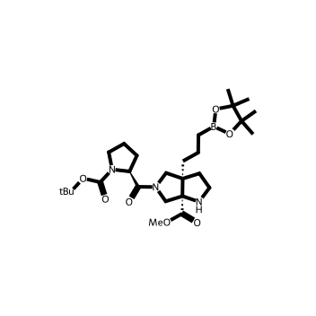 COC(=O)[C@]12CN(C(=O)[C@@H]3CCCN3C(=O)OC(C)(C)C)C[C@@]1(CCCB1OC(C)(C)C(C)(C)O1)CCN2